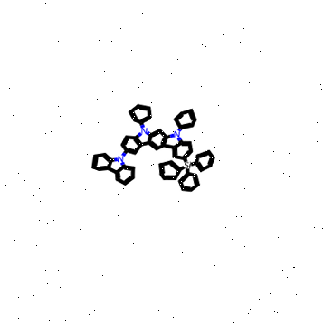 c1ccc(-n2c3ccc(-n4c5ccccc5c5ccccc54)cc3c3cc4c5cc([Si](c6ccccc6)(c6ccccc6)c6ccccc6)ccc5n(-c5ccccc5)c4cc32)cc1